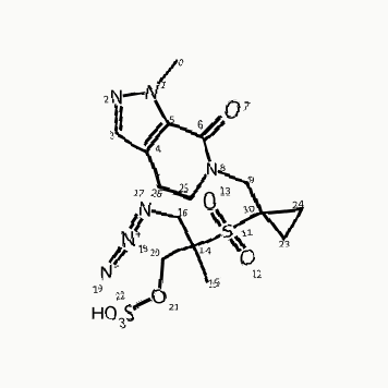 Cn1ncc2c1C(=O)N(CC1(S(=O)(=O)C(C)(CN=[N+]=[N-])COS(=O)(=O)O)CC1)CC2